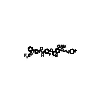 COc1cc2c(Oc3ccc(NC(=O)N4C=CN(c5ccccc5OC(F)(F)F)C4)cc3F)ccnc2cc1OCCCN1CCN(C)CC1